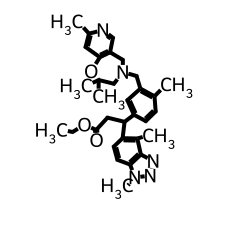 CCOC(=O)CC(c1ccc(C)c(CN2Cc3cnc(C)cc3OC(C)(C)C2)c1)c1ccc2c(nnn2C)c1C